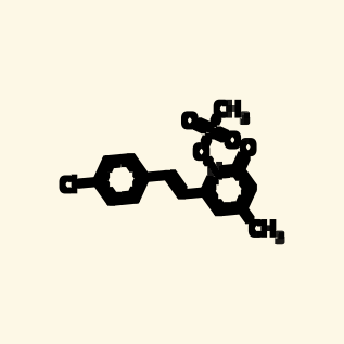 Cc1cc(C=Cc2ccc(Cl)cc2)n(OS(C)(=O)=O)c(=O)c1